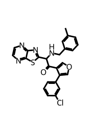 Cc1cccc(CNC(C(=O)c2cocc2-c2cccc(Cl)c2)c2nc3nccnc3s2)c1